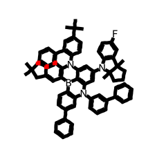 CC1(C)Cc2cc3c(cc2C1)N(c1ccc(C(C)(C)C)cc1-c1ccccc1)c1cc(N2c4ccc(F)cc4C4(C)CCCC24C)cc2c1B3c1ccc(-c3ccccc3)cc1N2c1cccc(-c2ccccc2)c1